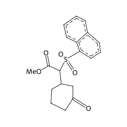 COC(=O)C(C1CCCC(=O)C1)S(=O)(=O)c1cccc2ccccc12